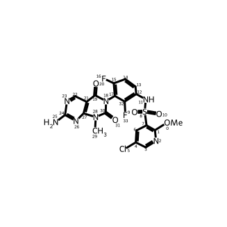 COc1ncc(Cl)cc1S(=O)(=O)Nc1ccc(F)c(-n2c(=O)c3cnc(N)nc3n(C)c2=O)c1F